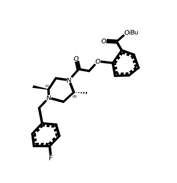 CC(C)COC(=O)c1ccccc1OCC(=O)N1C[C@H](C)N(Cc2ccc(F)cc2)C[C@H]1C